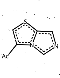 CC(=O)c1csc2cncn12